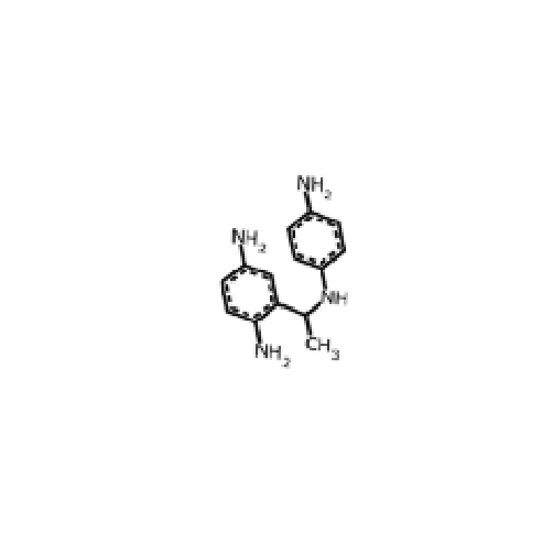 CC(Nc1ccc(N)cc1)c1cc(N)ccc1N